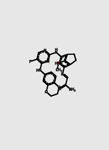 CNc1c2c(N=CC(N)=O)cc(Nc3ncc(F)c(Nc4ccc5c(c4)OCCO5)n3)c1CC2